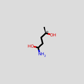 C[C@@H](O)CCC(N)O